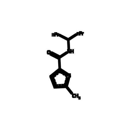 CCCC(CCC)NC(=O)c1ccc(C)s1